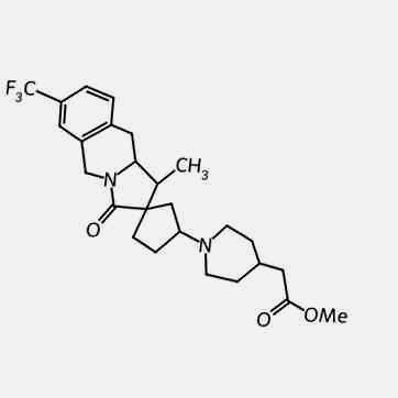 COC(=O)CC1CCN(C2CCC3(C2)C(=O)N2Cc4cc(C(F)(F)F)ccc4CC2C3C)CC1